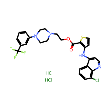 Cl.Cl.O=C(OCCN1CCN(c2cccc(C(F)(F)F)c2)CC1)c1sccc1Nc1ccnc2c(Cl)cccc12